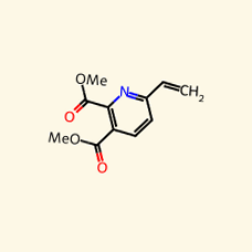 C=Cc1ccc(C(=O)OC)c(C(=O)OC)n1